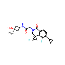 C[C@]1(O)C[C@H](NC(=O)CN2C[C@]3(C[C@@H]3F)c3c(ccc(C4CC4)c3F)C2=O)C1